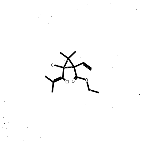 C=CC1(C(=O)OCC)C(C)(C)C1(Cl)C(Cl)=C(C)C